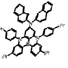 CC(C)c1ccc(N2c3cc(C(C)C)ccc3B3c4ccc(C(C)C)cc4N(c4ccc(C(C)C)cc4)c4cc(N(c5ccc6ccccc6c5)c5ccc6ccccc6c5)cc2c43)cc1